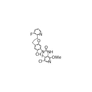 COc1ncc(Cl)c2c1NC(=O)N(c1cc3c(cc1C)CCC(c1ncccc1F)O3)C2